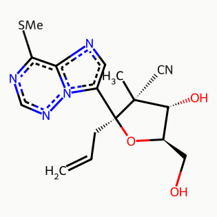 C=CC[C@@]1(c2cnc3c(SC)ncnn23)O[C@H](CO)[C@@H](O)[C@@]1(C)C#N